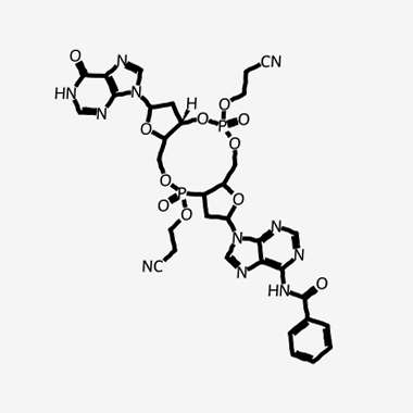 N#CCCOP1(=O)OCC2OC(n3cnc4c(NC(=O)c5ccccc5)ncnc43)CC2P(=O)(OCCC#N)OCC2OC(n3cnc4c(=O)[nH]cnc43)C[C@@H]2O1